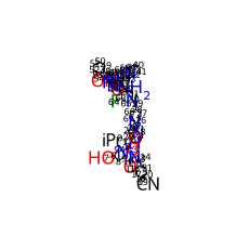 CC(C)[C@@H](C(=O)N1C[C@H](O)C[C@H]1C(=O)N[C@@H](C)c1ccc(C#N)cc1)c1cc(N2CCC(CN3CC[C@@H](Oc4cc(N5C6CCC5CN(c5cc(-c7ccccc7O)nnc5N)C6)ccn4)[C@@H](F)C3)CC2)no1